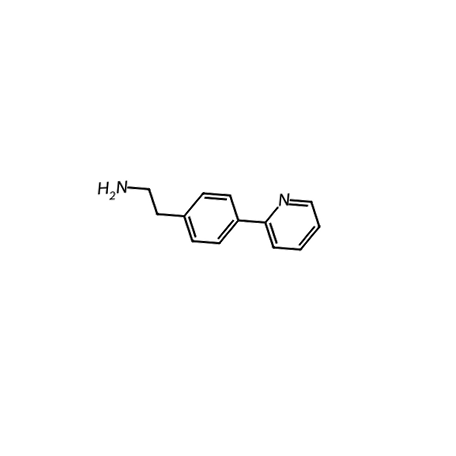 NCCc1ccc(-c2ccccn2)cc1